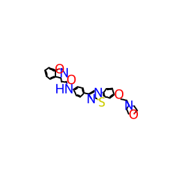 O=C(Cc1noc2ccccc12)Nc1ccc(-c2cn3c(n2)sc2cc(OCCN4CCOCC4)ccc23)cc1